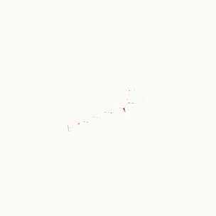 CCCCOCCOCCOC(=O)C(CCCC)OS(=O)(=O)O